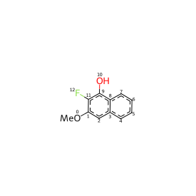 COc1cc2ccccc2c(O)c1F